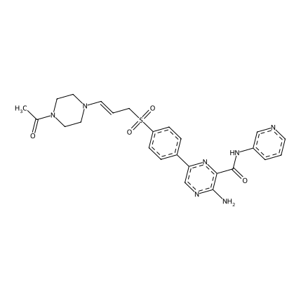 CC(=O)N1CCN(C=CCS(=O)(=O)c2ccc(-c3cnc(N)c(C(=O)Nc4cccnc4)n3)cc2)CC1